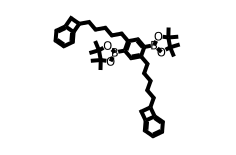 CC1(C)OB(c2cc(CCCCCC3Cc4ccccc43)c(B3OC(C)(C)C(C)(C)O3)cc2CCCCCC2Cc3ccccc32)OC1(C)C